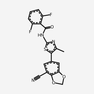 Cc1nc(NC(=O)c2c(F)cccc2F)sc1-c1cc(C#N)c2c(c1)OCO2